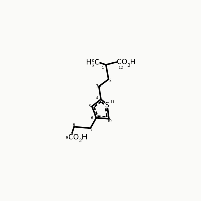 CC(CCc1cc(CCC(=O)O)cs1)C(=O)O